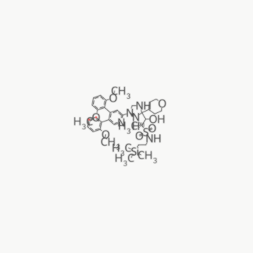 COc1ccccc1-c1cnc(N2CNC(C3CCOCC3)(C(O)[C@@H](C)S(=O)(=O)NCC[Si](C)(C)C)N2)cc1-c1c(OC)cccc1OC